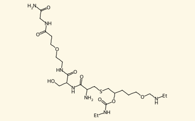 CCNCOCCCC(CSCC(N)C(=O)NC(CO)C(=O)NCCOCCC(=O)NCC(N)=O)OC(=O)NCC